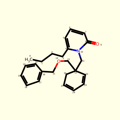 CCCCc1cccc(=O)n1CC1(COCc2ccccc2)C=CC=CC1